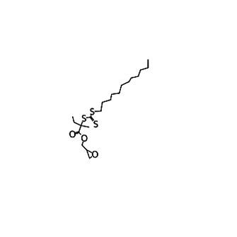 CCCCCCCCCCCCSC(=S)SC(C)(CC)C(=O)OCC1CO1